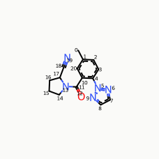 Cc1ccc(-n2nccn2)c(C(=O)N2CCCC2C#N)c1